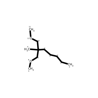 CCCCCC(C)(COC)COC